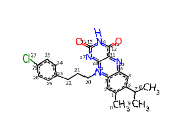 Cc1cc2c(cc1C(C)C)nc1c(=O)[nH]c(=O)nc-1n2CCCc1ccc(Cl)cc1